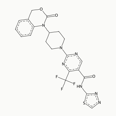 O=C(Nc1nncs1)c1cnc(N2CCC(N3C(=O)OCc4ccccc43)CC2)nc1C(F)(F)F